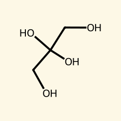 OCC(O)(O)CO